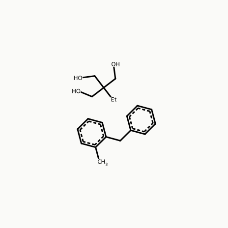 CCC(CO)(CO)CO.Cc1ccccc1Cc1ccccc1